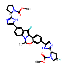 CCC1Oc2cc(-c3cnc([C@@H]4C[C@@H](F)CN4C(=O)OC(C)(C)C)[nH]3)ccc2-c2c(F)c3cc(-c4cnc([C@@H]5CCCN5C(=O)OC(C)(C)C)[nH]4)ccc3n21